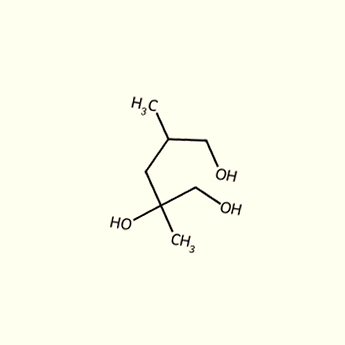 CC(CO)CC(C)(O)CO